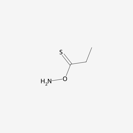 CCC(=S)ON